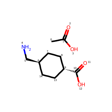 CC(=O)O.NC[C@H]1CC[C@H](C(=O)O)CC1